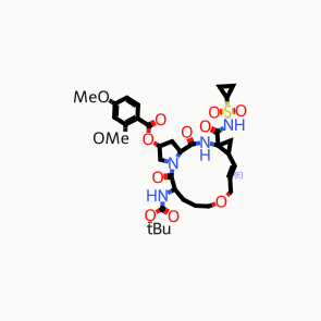 COc1ccc(C(=O)OC2CC3C(=O)NC4(C(=O)NS(=O)(=O)C5CC5)CC4/C=C/COCCCC(NC(=O)OC(C)(C)C)C(=O)N3C2)c(OC)c1